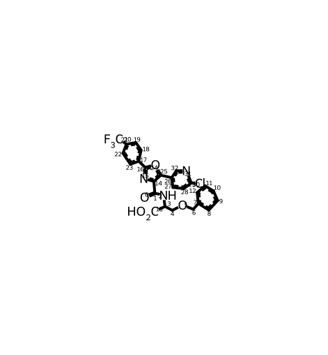 O=C(NC(COCc1ccccc1)C(=O)O)c1nc(-c2ccc(C(F)(F)F)cc2)oc1-c1ccc(Cl)nc1